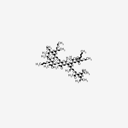 C=C(O)N(CN(C)C(=O)N(COCC)C(=O)CCCC)c1nc(N(C)COCN(C(C)=O)c2nc(N(C)C)nc(N(C)C)n2)nc(N(CC)CN(C(=O)CC)C(=O)N(COCN(C(=O)CC)C(=O)N(COCC)COCCCC)COCN(CC)c2nc(N(CC)COCC)nc(N(COC)C(C)=O)n2)n1